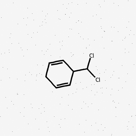 ClC(Cl)C1C=CCC=C1